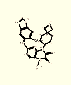 Cc1cc2c(cc1Nc1ncc3c(n1)n(C1CCC4(CC1)COC4)c(=O)c(=O)n3C)OCO2